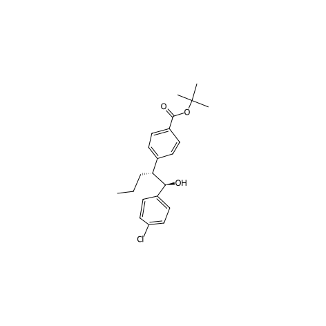 CCC[C@H](c1ccc(C(=O)OC(C)(C)C)cc1)[C@@H](O)c1ccc(Cl)cc1